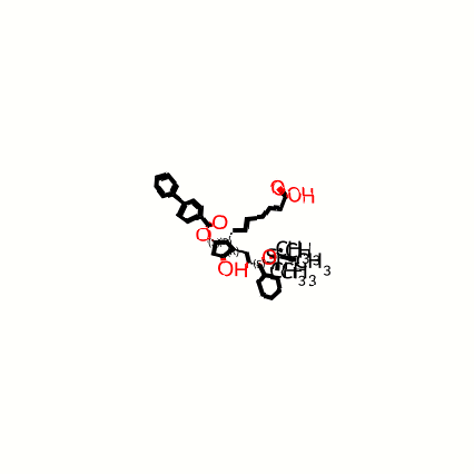 CC(C)(C)[Si](C)(C)O[C@@H](CC[C@H]1C(O)C[C@H](OC(=O)c2ccc(-c3ccccc3)cc2)[C@@H]1CCCCCCC(=O)O)C1CCCCC1